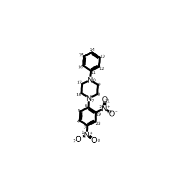 O=[N+]([O-])c1ccc(N2CCN(c3ccccc3)CC2)c([N+](=O)[O-])c1